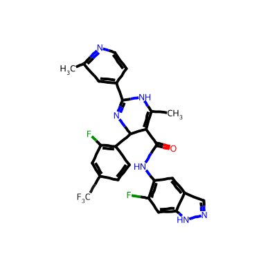 CC1=C(C(=O)Nc2cc3cn[nH]c3cc2F)C(c2ccc(C(F)(F)F)cc2F)N=C(c2ccnc(C)c2)N1